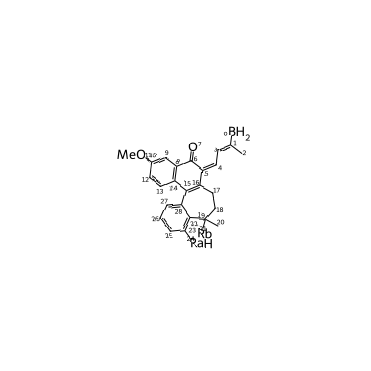 B/C(C)=C/C=C1\C(=O)c2cc(OC)ccc2C2=C1CC[C](C)([Rb])c1[c]([RaH])cccc12